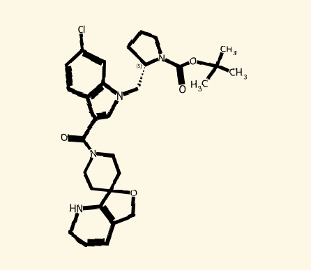 CC(C)(C)OC(=O)N1CCC[C@H]1Cn1cc(C(=O)N2CCC3(CC2)OCC2=C3NCC=C2)c2ccc(Cl)cc21